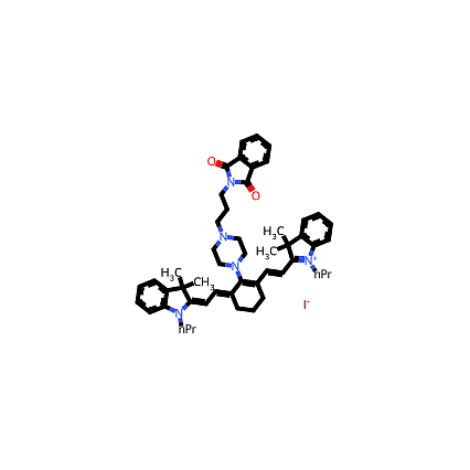 CCCN1/C(=C/C=C2\CCCC(/C=C/C3=[N+](CCC)c4ccccc4C3(C)C)=C2N2CCN(CCCN3C(=O)c4ccccc4C3=O)CC2)C(C)(C)c2ccccc21.[I-]